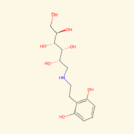 OC[C@@H](O)[C@@H](O)[C@H](O)[C@@H](O)CNCCc1c(O)cccc1O